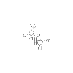 CC(C)c1cc(Cl)cc(NC(=O)c2cc(N3CCCS3)cc(Cl)c2Cl)c1